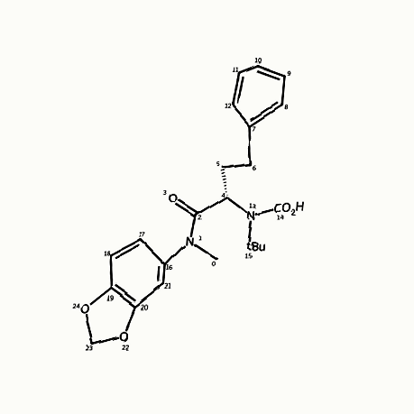 CN(C(=O)[C@H](CCc1ccccc1)N(C(=O)O)C(C)(C)C)c1ccc2c(c1)OCO2